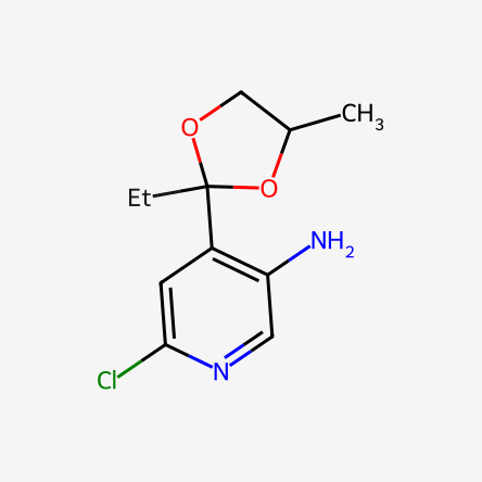 CCC1(c2cc(Cl)ncc2N)OCC(C)O1